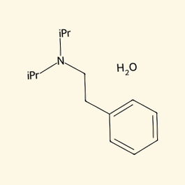 CC(C)N(CCc1ccccc1)C(C)C.O